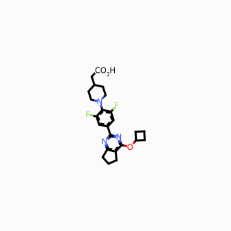 O=C(O)CC1CCN(c2c(F)cc(-c3nc4c(c(OC5CCC5)n3)CCC4)cc2F)CC1